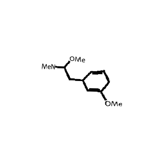 CNC(CC1C=CCC(OC)=C1)OC